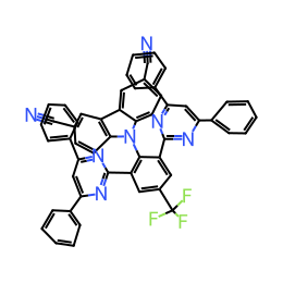 N#Cc1ccc2c(c1)c1cc(C#N)ccc1n2-c1c(-c2nc(-c3ccccc3)cc(-c3ccccc3)n2)cc(C(F)(F)F)cc1-c1nc(-c2ccccc2)cc(-c2ccccc2)n1